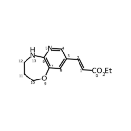 CCOC(=O)C=Cc1cnc2c(c1)OCCCN2